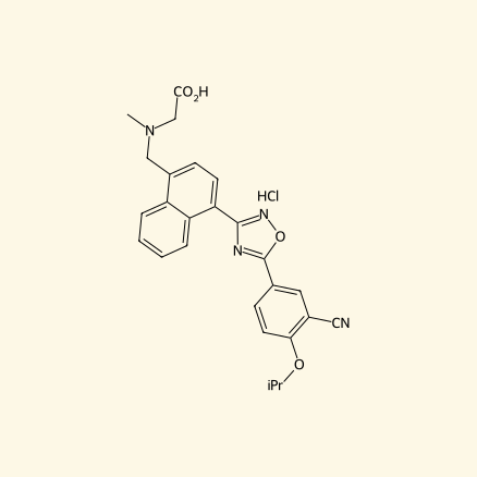 CC(C)Oc1ccc(-c2nc(-c3ccc(CN(C)CC(=O)O)c4ccccc34)no2)cc1C#N.Cl